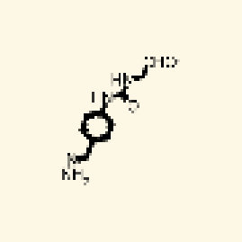 NN=Cc1ccc(NC(=O)NC[C]=O)cc1